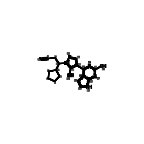 N#CCC(C1CCCC1)n1ncc(-c2nc(O)nc3[nH]ccc23)c1O